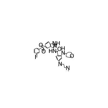 CN(C)CCN(C)c1ccc(C(=O)Nc2n[nH]c3ccc(S(=O)(=O)c4cccc(F)c4)cc23)c(NC2CCOCC2)c1